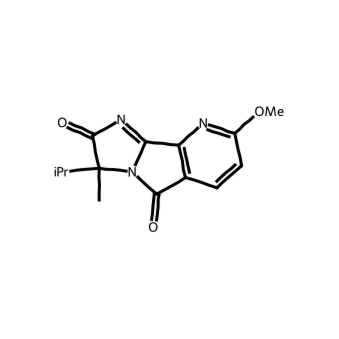 COc1ccc2c(n1)C1=NC(=O)C(C)(C(C)C)N1C2=O